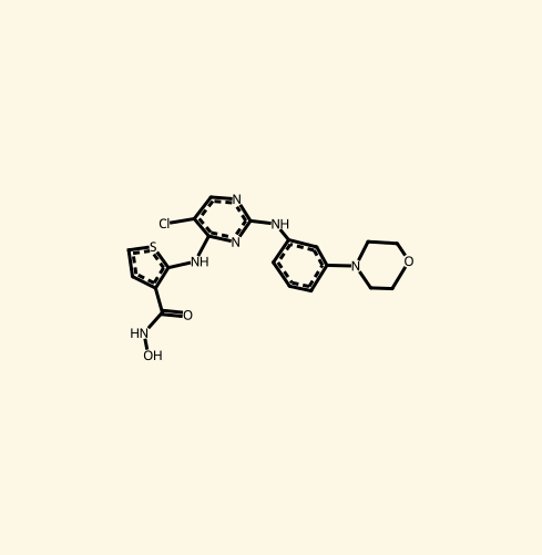 O=C(NO)c1ccsc1Nc1nc(Nc2cccc(N3CCOCC3)c2)ncc1Cl